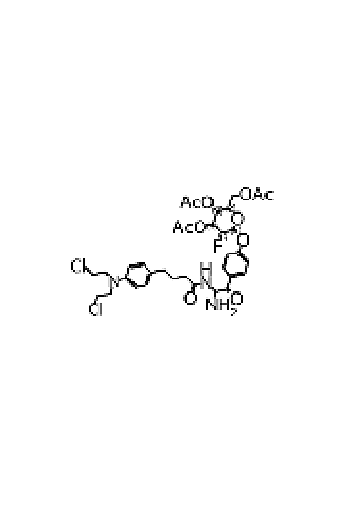 CC(=O)OC[C@H]1O[C@@H](Oc2ccc(C(=O)C(N)NC(=O)CCCc3ccc(N(CCCl)CCCl)cc3)cc2)[C@H](F)[C@@H](OC(C)=O)[C@@H]1OC(C)=O